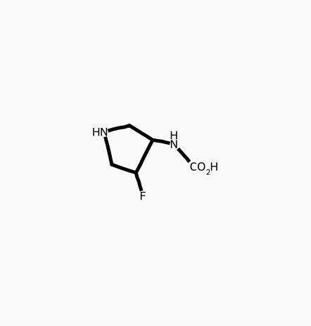 O=C(O)NC1CNCC1F